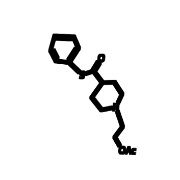 CC(=O)OCCN1CCC(C(=O)Sc2ccccc2)CC1